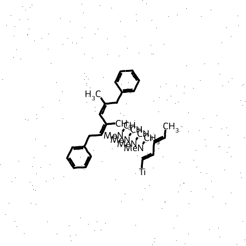 CC(=CCc1ccccc1)C=C(C)Cc1ccccc1.CC=CC=[CH][Ti].CNC.CNC.CNC.CNC